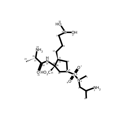 CC(N)CN(C)S(=O)(=O)N1C[C@H](CCCB(O)O)[C@](NC(=O)[C@H](C)N)(C(=O)O)C1